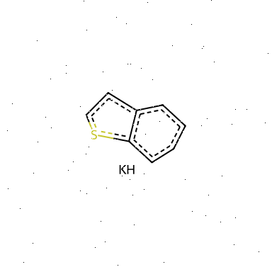 [KH].c1ccc2sccc2c1